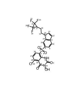 O=c1[nH]c2c(S(=O)(=O)c3ccc4ccn(CCC5C(F)(F)C5(F)F)c4c3)ccc(Cl)c2c(=O)n1O